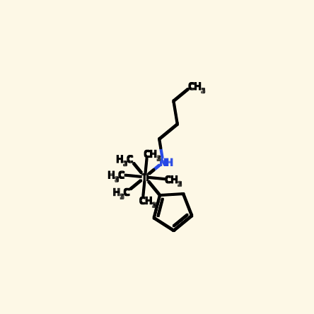 CCCC[NH][Ti]([CH3])([CH3])([CH3])([CH3])([CH3])([CH3])[C]1=CC=CC1